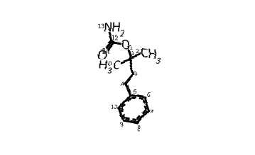 CC(C)(CCc1ccccc1)OC(N)=O